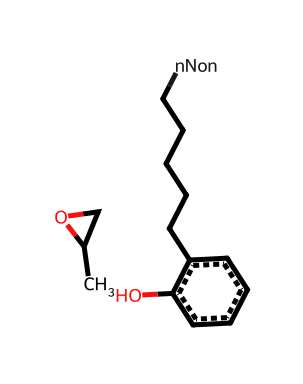 CC1CO1.CCCCCCCCCCCCCCc1ccccc1O